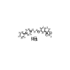 CN1C(=O)CCc2ccc(OCCCN3CCN(c4ccccc4)CC3)cc21.Cl.Cl